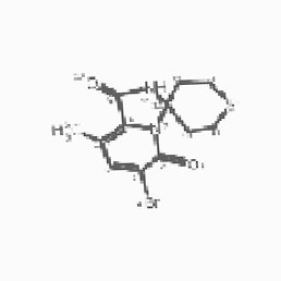 Cc1cc(Br)c(=O)n2c1C(=O)NC21CCSCC1